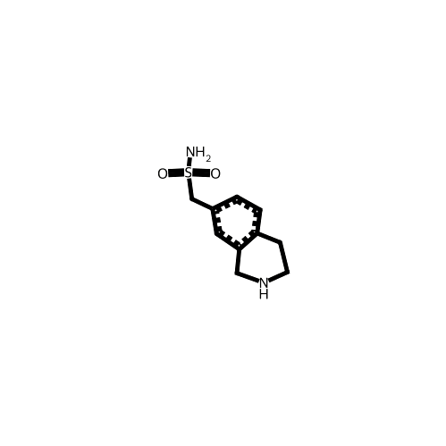 NS(=O)(=O)Cc1ccc2c(c1)CNCC2